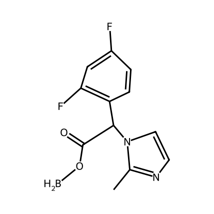 BOC(=O)C(c1ccc(F)cc1F)n1ccnc1C